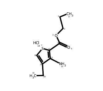 CCCOC(=O)c1scc(CC)c1N.Cl